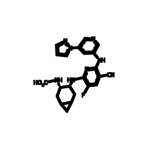 N#Cc1cc(F)c(N[C@H]2CC3CC3C[C@@H]2NC(=O)O)nc1Nc1cncc(-n2cccn2)c1